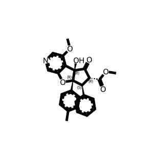 COC(=O)[C@H]1C(=O)[C@@]2(O)c3c(OC)cncc3O[C@@]2(c2ccc(C)cc2)[C@@H]1c1ccccc1